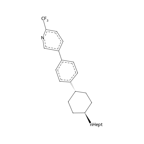 CCCCCCC[C@H]1CC[C@H](c2ccc(-c3ccc(C(F)(F)F)nc3)cc2)CC1